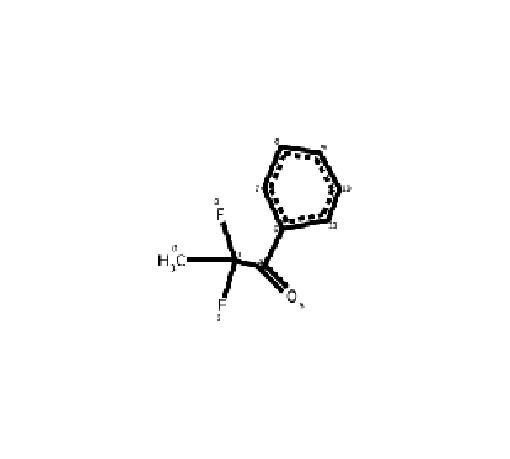 CC(F)(F)C(=O)c1ccccc1